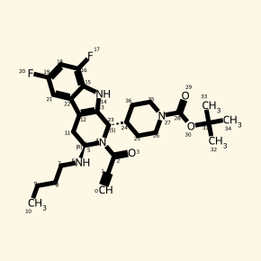 C#CC(=O)N1[C@@H](NCCCC)Cc2c([nH]c3c(F)cc(F)cc23)[C@@H]1C1CCN(C(=O)OC(C)(C)C)CC1